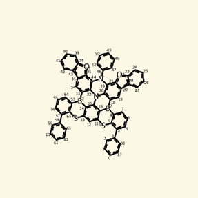 c1ccc(-c2cccc3c2Sc2cc4c5c6c2B3c2cc3c(oc7ccccc73)c3c2N6c2c(cc6c(oc7ccccc76)c2N3c2ccccc2)B5c2cccc(-c3ccccc3)c2S4)cc1